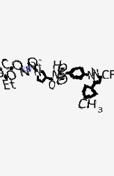 CCC(=O)OC(C)O/N=[N+](\[O-])N1CCC(C(=O)NS(=O)(=O)c2ccc(-n3nc(C(F)(F)F)cc3-c3ccc(C)cc3)cc2)C1